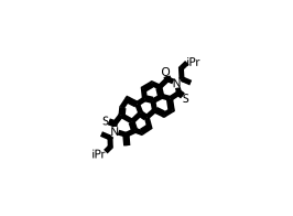 C=c1c2ccc3c4ccc5c6c(ccc(c7ccc(c(=S)n1C(C)CC(C)C)c2c37)c64)C(=O)N(C(C)CC(C)C)C5=S